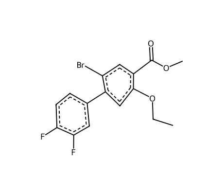 CCOc1cc(-c2ccc(F)c(F)c2)c(Br)cc1C(=O)OC